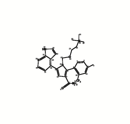 Cc1ccc(-c2c(C(N)=O)cc(-c3ccnc4[nH]ccc34)n2COCC[Si](C)(C)C)c(C(F)(F)F)c1